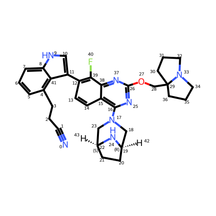 N#CCCc1cccc2[nH]cc(-c3ccc4c(N5C[C@H]6CC[C@@H](C5)N6)nc(OCC56CCCN5CCC6)nc4c3F)c12